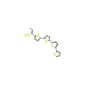 C/C=C(\S)c1ccc(-c2ccc(C3=C=C=C(c4cccs4)S3)s2)s1